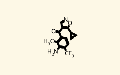 Cc1c(C(=O)c2cnoc2C2CC2)ccc(C(F)(F)F)c1N